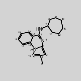 Cc1cc2nc(NC3CCCCCC3)c3ccccc3n2n1